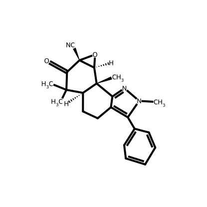 Cn1nc2c(c1-c1ccccc1)CC[C@H]1C(C)(C)C(=O)[C@]3(C#N)O[C@H]3[C@]21C